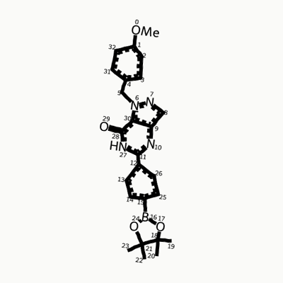 COc1ccc(Cn2ncc3nc(-c4ccc(B5OC(C)(C)C(C)(C)O5)cc4)[nH]c(=O)c32)cc1